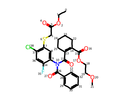 CCOC(=O)CSc1cc(N(C(=O)C2=C(C(=O)OCCOC)CCCC2)C(=O)c2ccccc2)c(F)cc1Cl